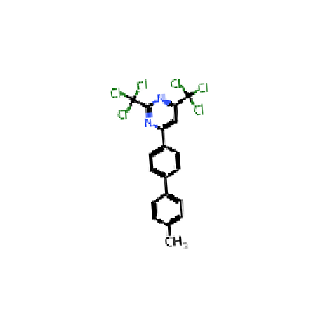 Cc1ccc(-c2ccc(-c3cc(C(Cl)(Cl)Cl)nc(C(Cl)(Cl)Cl)n3)cc2)cc1